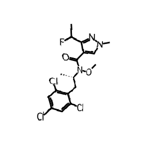 CON(C(=O)c1cn(C)nc1C(C)F)[C@@H](C)Cc1c(Cl)cc(Cl)cc1Cl